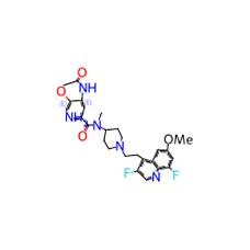 C=C(/C=C1/NC(=O)CO/C1=C/N)C(=O)N(C)C1CCN(CCc2c(F)cnc3c(F)cc(OC)cc23)CC1